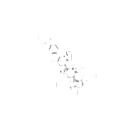 C=C(C)[C@@H]1CC[C@]2(C(=O)O)CC[C@]3(C)[C@H](CC[C@@H]4[C@@]5(C)CC=C(c6ccc(S(C)(=O)=O)cc6)C(C)(C)[C@@H]5CC[C@]43C)[C@@H]12